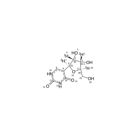 [2H][C@]1(O)[C@@]([2H])(O)[C@]([2H])(c2c[nH]c(=O)[nH]c2=O)O[C@]1([2H])CO